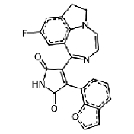 O=C1NC(=O)C(c2cccc3ccoc23)=C1C1=NC=CN2CCc3cc(F)cc1c32